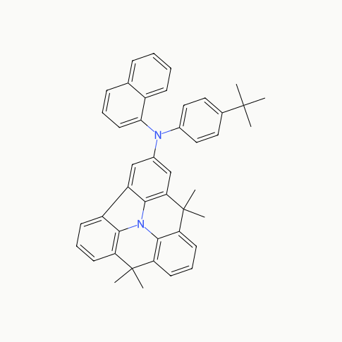 CC(C)(C)c1ccc(N(c2cc3c4c(c2)c2cccc5c2n4-c2c(cccc2C3(C)C)C5(C)C)c2cccc3ccccc23)cc1